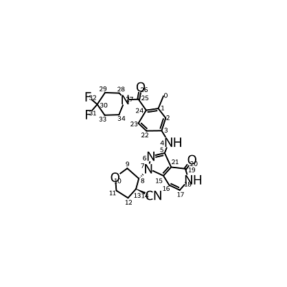 Cc1cc(Nc2nn([C@H]3COCC[C@@H]3C#N)c3cc[nH]c(=O)c23)ccc1C(=O)N1CCC(F)(F)CC1